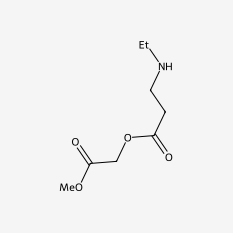 CCNCCC(=O)OCC(=O)OC